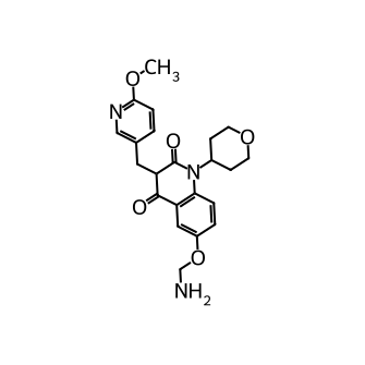 COc1ccc(CC2C(=O)c3cc(OCN)ccc3N(C3CCOCC3)C2=O)cn1